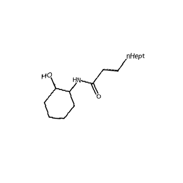 CCCCCCCCCC(=O)NC1CCCCC1O